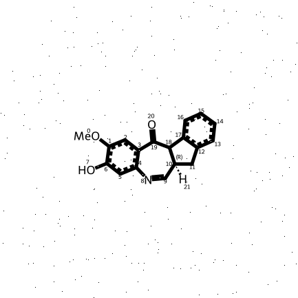 COc1cc2c(cc1O)N=C[C@@H]1Cc3ccccc3C1C2=O